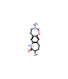 CC(C)C1CCc2cc3c(cc2NC1=O)CCN(C(C)C)CO3